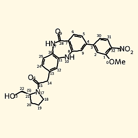 COc1cc(-c2ccc3c(c2)Nc2cc(CC(=O)N4CCC[C@H]4CO)ccc2NC3=O)ccc1[N+](=O)[O-]